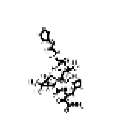 CC(C)(C)[C@H](NC(=O)NCC(=O)OC1CCCC1)C(=O)N1C[C@H]2[C@@H]([C@H]1C(=O)NC(CC1CCC1)C(=O)C(N)=O)C2(C)C